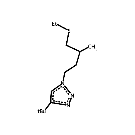 CCSCC(C)CCn1cc(C(C)(C)C)nn1